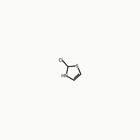 ClC1N[C]=CS1